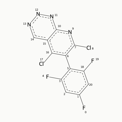 Fc1cc(F)c(-c2c(Cl)nc3nnncc3c2Cl)c(F)c1